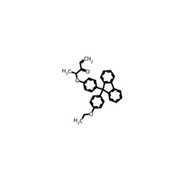 C=CC(=O)C(C)Oc1ccc(C2(c3ccc(OCC)cc3)c3ccccc3-c3ccccc32)cc1